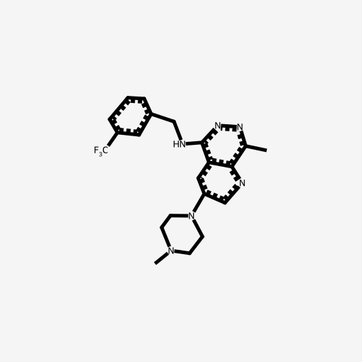 Cc1nnc(NCc2cccc(C(F)(F)F)c2)c2cc(N3CCN(C)CC3)cnc12